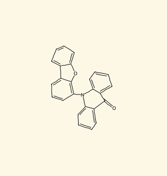 O=c1c2ccccc2n(-c2cccc3c2oc2ccccc23)c2ccccc12